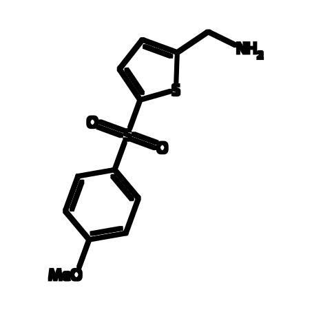 COc1ccc(S(=O)(=O)c2ccc(CN)s2)cc1